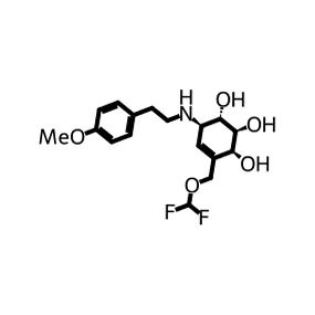 COc1ccc(CCN[C@@H]2C=C(COC(F)F)[C@H](O)[C@H](O)[C@H]2O)cc1